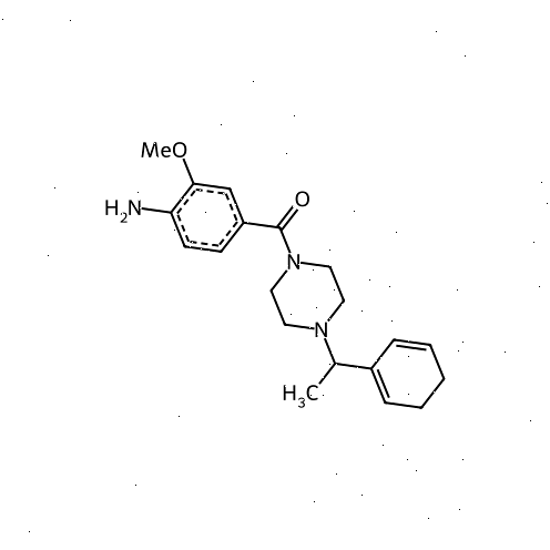 COc1cc(C(=O)N2CCN(C(C)C3=CCCC=C3)CC2)ccc1N